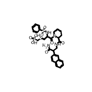 NC(=O)C(CNC(=O)C1CCCCN1C(=O)C(CSCP(=O)(O)O)NS(=O)(=O)c1ccccc1)c1ccc2ccccc2c1